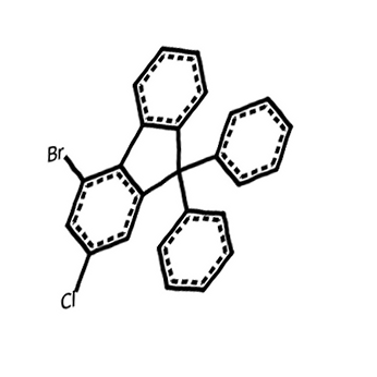 Clc1cc(Br)c2c(c1)C(c1ccccc1)(c1ccccc1)c1ccccc1-2